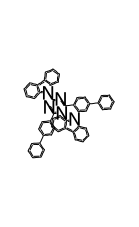 c1ccc(-c2ccc(-c3nc(-c4ccc(-c5ccccc5)cc4-n4c5ccccc5c5ccccc54)nc(-n4c5ccccc5c5ccccc54)n3)cc2)cc1